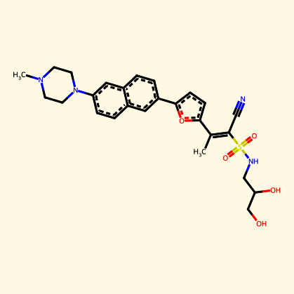 C/C(=C(/C#N)S(=O)(=O)NCC(O)CO)c1ccc(-c2ccc3cc(N4CCN(C)CC4)ccc3c2)o1